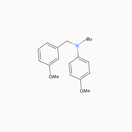 CCC(C)N(Cc1cccc(OC)c1)c1ccc(OC)cc1